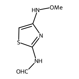 CONc1csc(NC=O)n1